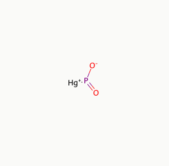 O=P[O-].[Hg+]